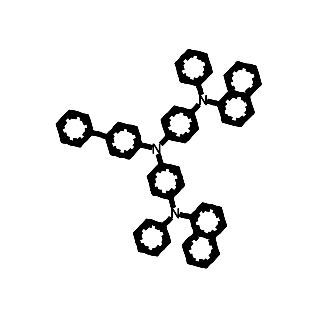 c1ccc(-c2ccc(N(c3ccc(N(c4ccccc4)c4cccc5ccccc45)cc3)c3ccc(N(c4ccccc4)c4cccc5ccccc45)cc3)cc2)cc1